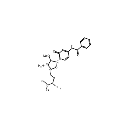 COC1[C@@H](N)[C@@H](COP(C)N(C(C)C)C(C)C)O[C@H]1n1ccc(NC(=O)c2ccccc2)nc1=O